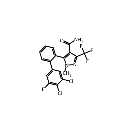 Cn1nc(C(F)(F)F)c(C(N)=O)c1-c1ccccc1-c1cc(F)c(Cl)c(Cl)c1